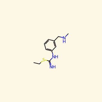 CCSC(=N)Nc1cccc(CNC)c1